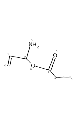 C=CC(N)OC(=O)CC